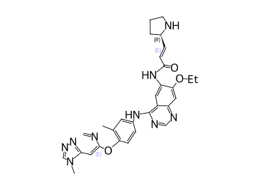 C=N/C(=C\c1nncn1C)Oc1ccc(Nc2ncnc3cc(OCC)c(NC(=O)/C=C/[C@H]4CCCN4)cc23)cc1C